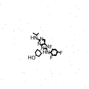 CC(C)Nc1ncc2nc(Nc3c(F)cc(F)cc3F)n([C@H]3CC[C@@H](O)CC3)c2n1